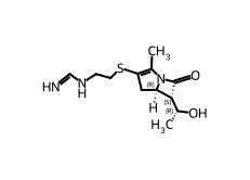 CC1=C(SCCNC=N)C[C@@H]2[C@@H]([C@@H](C)O)C(=O)N12